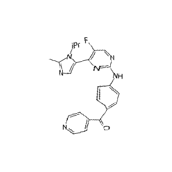 Cc1ncc(-c2nc(Nc3ccc(C(=O)c4ccncc4)cc3)ncc2F)n1C(C)C